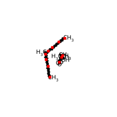 CCCCCCCCCCCCCCCCCCN(C)CCCCCCCCCCCCCCCCCC.C[N+](C)(C)C(CCCS(=O)(=O)[O-])C(=O)O